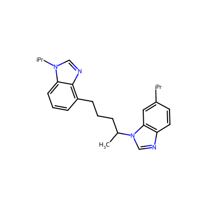 CC(C)c1ccc2ncn(C(C)CCCc3cccc4c3ncn4C(C)C)c2c1